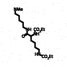 CCOC(=O)NCCCCC(NC(=O)OCC)C(=O)NCCCCCNC